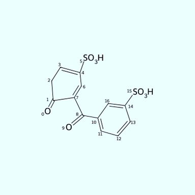 O=C1CC=C(S(=O)(=O)O)C=C1C(=O)c1cccc(S(=O)(=O)O)c1